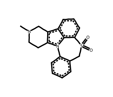 CN1CCc2c(c3cccc4c3n2-c2ccccc2CS4(=O)=O)C1